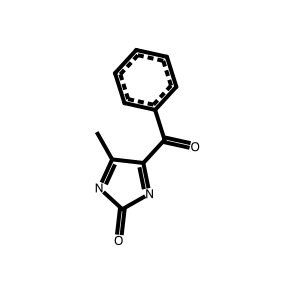 CC1=NC(=O)N=C1C(=O)c1ccccc1